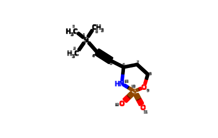 C[Si](C)(C)C#CC1CCOS(=O)(=O)N1